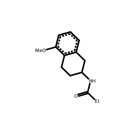 CCC(=O)NC1CCc2c(cccc2OC)C1